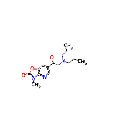 CCCN(CCC)CC(=O)c1cnc2c(c1)oc(=O)n2C